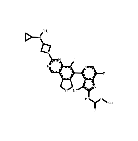 CN(C1CC1)C1CN(c2ncc3c4c(c(-c5ncc(F)c6sc(NC(=O)OC(C)(C)C)c(C#N)c56)c(F)c3n2)COC4)C1